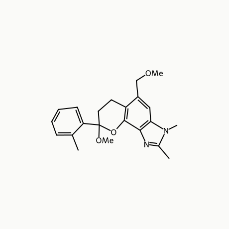 COCc1cc2c(nc(C)n2C)c2c1CCC(OC)(c1ccccc1C)O2